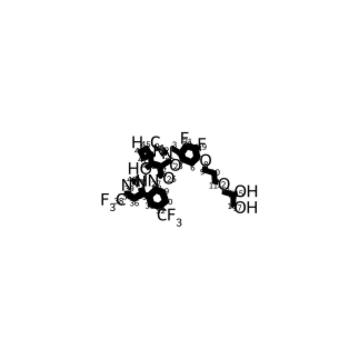 CN1N(Cc2ccc(OCCCOC[C@H](O)CO)c(F)c2F)C(=O)C(C(=O)Nc2ccc(C(F)(F)F)cc2-c2cc(C(F)(F)F)ncn2)=C(O)C12CCC2